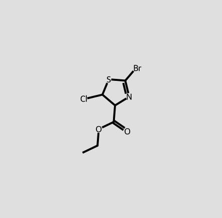 CCOC(=O)C1N=C(Br)SC1Cl